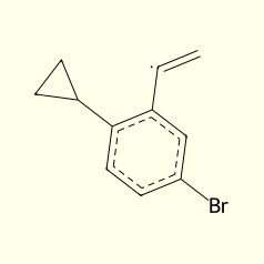 C=[C]c1cc(Br)ccc1C1CC1